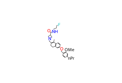 CCCc1ccc(COc2ccc3c(c2)CCC(CN2CC(C(=O)NCCCF)C2)=C3C)c(OC)c1